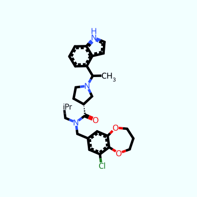 CC(C)CN(Cc1cc(Cl)c2c(c1)OCCCO2)C(=O)[C@@H]1CCN(C(C)c2cccc3[nH]ccc23)C1